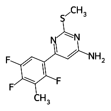 CSc1nc(N)cc(-c2cc(F)c(F)c(C)c2F)n1